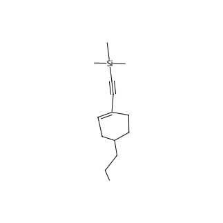 CCCC1CC=C(C#C[Si](C)(C)C)CC1